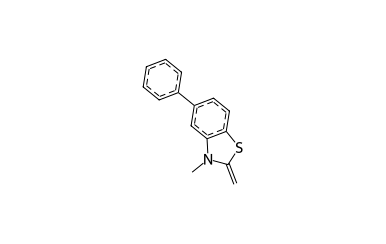 C=C1Sc2ccc(-c3ccccc3)cc2N1C